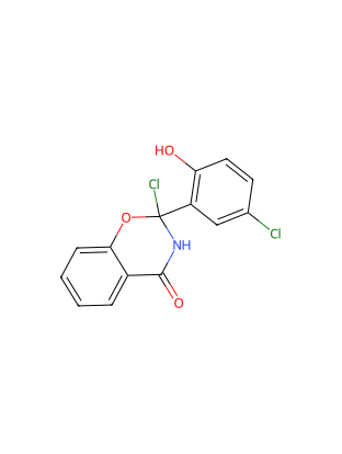 O=C1NC(Cl)(c2cc(Cl)ccc2O)Oc2ccccc21